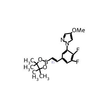 COc1cnn(-c2cc(/C=C/B3OC(C)(C)C(C)(C)O3)cc(F)c2F)c1